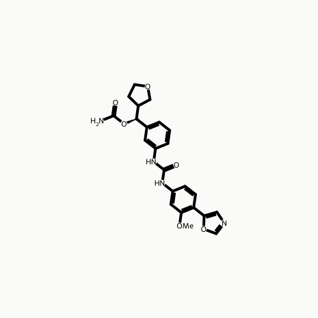 COc1cc(NC(=O)Nc2cccc([C@@H](OC(N)=O)C3CCOC3)c2)ccc1-c1cnco1